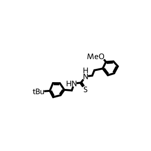 COc1ccccc1CCNC(=S)NCc1ccc(C(C)(C)C)cc1